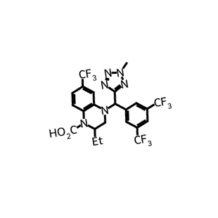 CCC1CN(C(c2cc(C(F)(F)F)cc(C(F)(F)F)c2)c2nnn(C)n2)c2cc(C(F)(F)F)ccc2N1C(=O)O